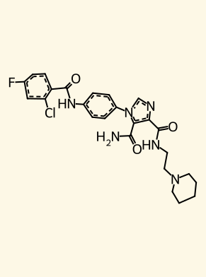 NC(=O)c1c(C(=O)NCCN2CCCCC2)ncn1-c1ccc(NC(=O)c2ccc(F)cc2Cl)cc1